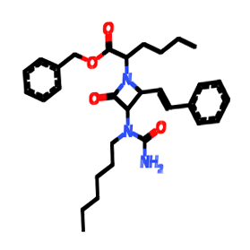 CCCCCCN(C(N)=O)C1C(=O)N(C(CCCC)C(=O)OCc2ccccc2)C1C=Cc1ccccc1